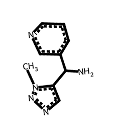 Cn1nncc1C(N)c1cccnc1